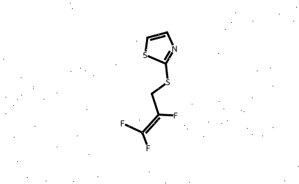 FC(F)=C(F)CSc1nccs1